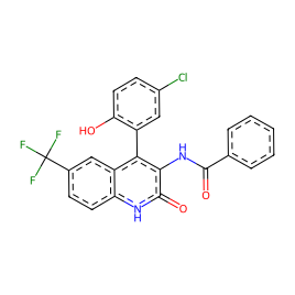 O=C(Nc1c(-c2cc(Cl)ccc2O)c2cc(C(F)(F)F)ccc2[nH]c1=O)c1ccccc1